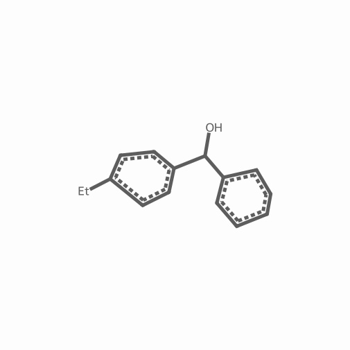 CCc1ccc(C(O)c2ccccc2)cc1